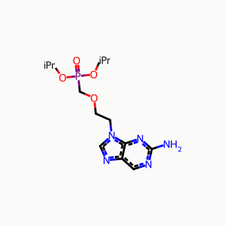 CC(C)OP(=O)(COCCn1cnc2cnc(N)nc21)OC(C)C